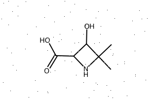 CC1(C)NC(C(=O)O)C1O